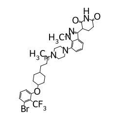 C[C@H](CCC1CCC(Oc2cccc(Br)c2C(F)(F)F)CC1)N1CCN(c2cccc3c(C4CCC(=O)NC4=O)nn(C)c23)CC1